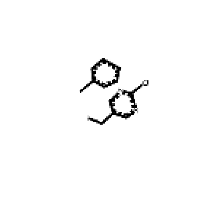 Cc1ccccc1.Clc1ncc(CI)cn1